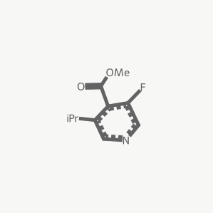 COC(=O)c1c(F)cncc1C(C)C